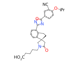 CC(C)Oc1ccc(-c2nc(-c3cccc4c3CC[C@]43CC(=O)N(CCCCC(=O)O)C3)no2)cc1C#N